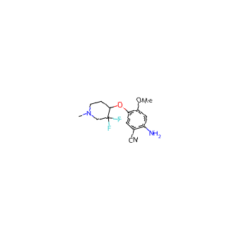 COc1cc(N)c(C#N)cc1OC1CCN(C)CC1(F)F